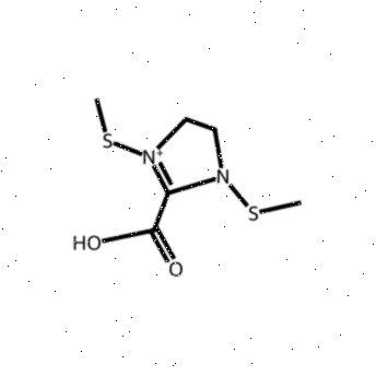 CSN1CC[N+](SC)=C1C(=O)O